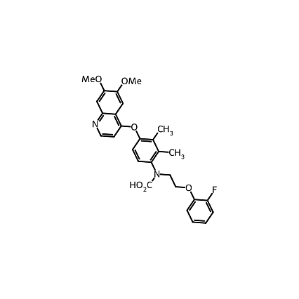 COc1cc2nccc(Oc3ccc(N(CCOc4ccccc4F)C(=O)O)c(C)c3C)c2cc1OC